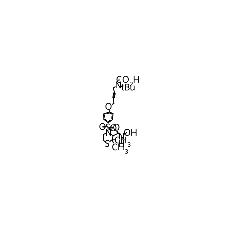 CC1(C)SCCN(S(=O)(=O)c2ccc(OCC#CCN(C(=O)O)C(C)(C)C)cc2)C1C(=O)NO